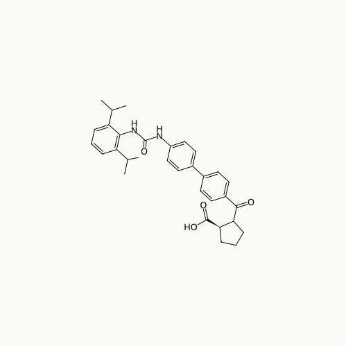 CC(C)c1cccc(C(C)C)c1NC(=O)Nc1ccc(-c2ccc(C(=O)C3CCC[C@H]3C(=O)O)cc2)cc1